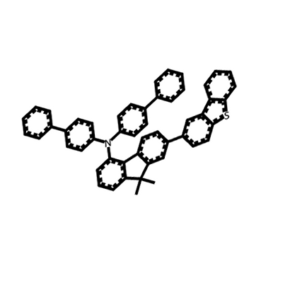 CC1(C)c2cc(-c3ccc4sc5ccccc5c4c3)ccc2-c2c(N(c3ccc(-c4ccccc4)cc3)c3ccc(-c4ccccc4)cc3)cccc21